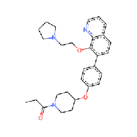 CCC(=O)N1CCC(Oc2ccc(-c3ccc4cccnc4c3OCCN3CCCC3)cc2)CC1